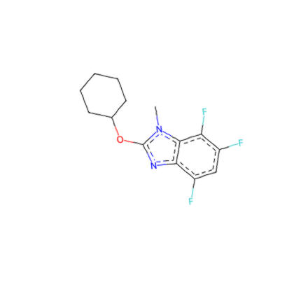 Cn1c(OC2CCCCC2)nc2c(F)cc(F)c(F)c21